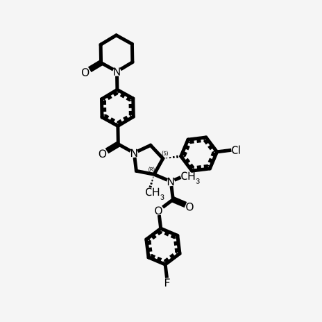 CN(C(=O)Oc1ccc(F)cc1)[C@@]1(C)CN(C(=O)c2ccc(N3CCCCC3=O)cc2)C[C@@H]1c1ccc(Cl)cc1